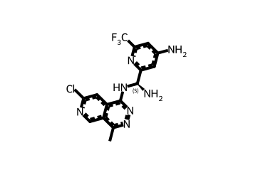 Cc1nnc(N[C@H](N)c2cc(N)cc(C(F)(F)F)n2)c2cc(Cl)ncc12